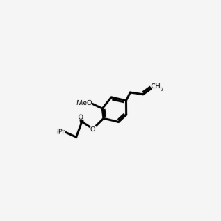 C=CCc1ccc(OC(=O)CC(C)C)c(OC)c1